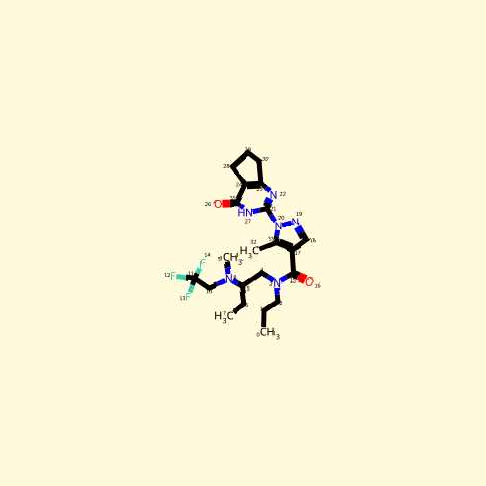 CCCN(CC(CC)N(C)CC(F)(F)F)C(=O)c1cnn(-c2nc3c(c(=O)[nH]2)CCC3)c1C